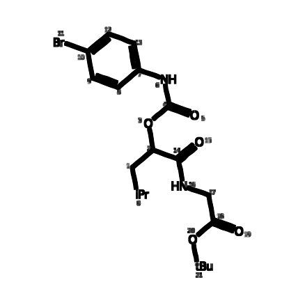 CC(C)CC(OC(=O)Nc1ccc(Br)cc1)C(=O)NCC(=O)OC(C)(C)C